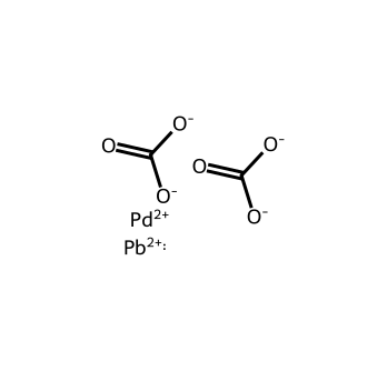 O=C([O-])[O-].O=C([O-])[O-].[Pb+2].[Pd+2]